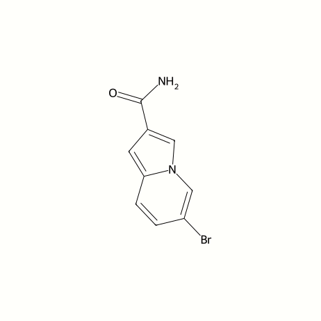 NC(=O)c1cc2ccc(Br)cn2c1